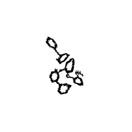 Pc1ccccc1Oc1ccccc1P.c1ccc(-c2ccccc2)cc1.c1ccc(-c2ccccc2)cc1